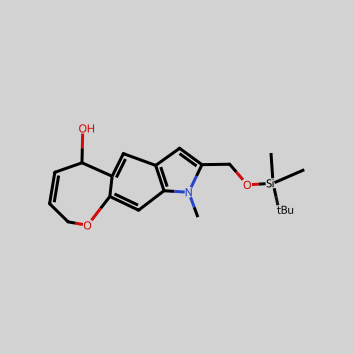 Cn1c(CO[Si](C)(C)C(C)(C)C)cc2cc3c(cc21)OCC=CC3O